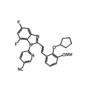 COc1cccc(C=Cc2nc3cc(F)cc(F)c3n2-c2ccc(C#N)cn2)c1OC1CCCC1